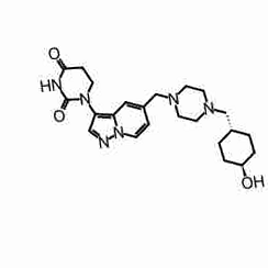 O=C1CCN(c2cnn3ccc(CN4CCN(C[C@H]5CC[C@H](O)CC5)CC4)cc23)C(=O)N1